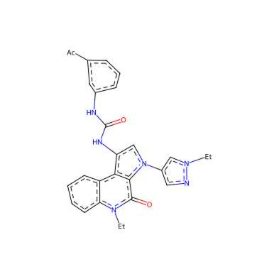 CCn1cc(-n2cc(NC(=O)Nc3cccc(C(C)=O)c3)c3c4ccccc4n(CC)c(=O)c32)cn1